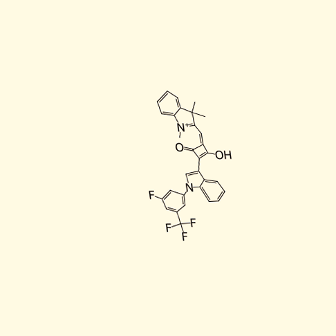 C[N+]1=C(/C=C2\C(=O)C(c3cn(-c4cc(F)cc(C(F)(F)F)c4)c4ccccc34)=C2O)C(C)(C)c2ccccc21